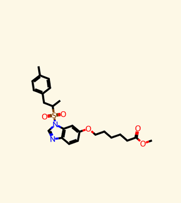 COC(=O)CCCCCOc1ccc2ncn(S(=O)(=O)C(C)Cc3ccc(C)cc3)c2c1